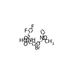 Cc1oc(-c2ccccc2)nc1CCOc1ccc(C[C@H](NC(=O)/C=C/c2ccc(F)cc2F)C(=O)O)cc1Br